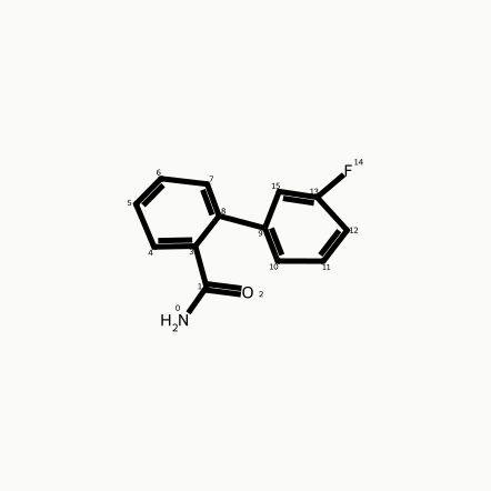 NC(=O)c1c[c]ccc1-c1cccc(F)c1